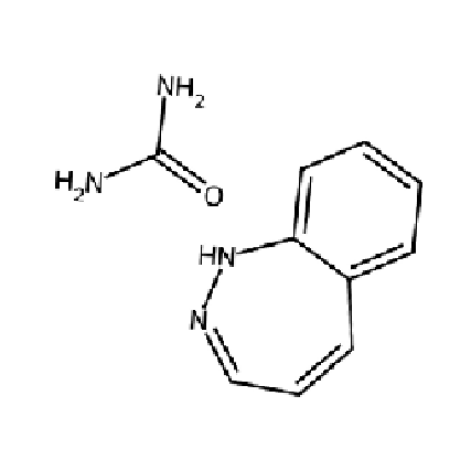 C1=Cc2ccccc2NN=C1.NC(N)=O